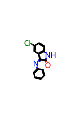 O=C1Nc2ccc(Cl)cc2/C1=N/c1ccccc1